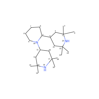 CC1(C)CC(C2CCCCN2C2CC(C)(C)NC(C)(C)C2)CC(C)(C)N1